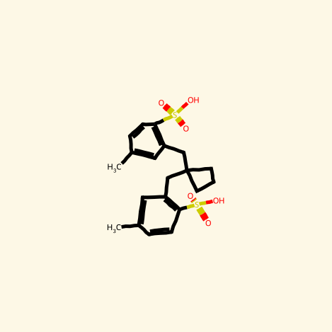 Cc1ccc(S(=O)(=O)O)c(CC2(Cc3cc(C)ccc3S(=O)(=O)O)CCC2)c1